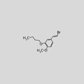 CCCCOc1cc(/C=C/Br)ccc1OC